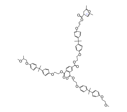 C/C=C/C(CC(C)=O)C(=O)OCCOc1ccc(C(C)(C)c2ccc(OCCOC(=O)c3ccc(C(=O)OCCOc4ccc(C(C)(C)c5ccc(OCC(C)OC)cc5)cc4)c(C(=O)OCCOc4ccc(C(C)(C)c5ccc(OCCOC)cc5)cc4)c3)cc2)cc1